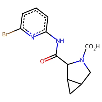 O=C(Nc1cccc(Br)n1)C1C2CC2CN1C(=O)O